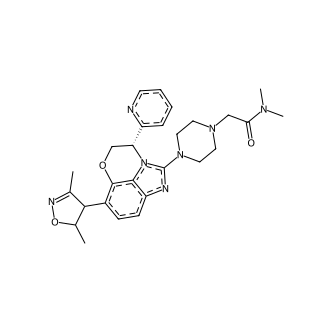 CC1=NOC(C)C1c1ccc2nc(N3CCN(CC(=O)N(C)C)CC3)n3c2c1OC[C@@H]3c1ccccn1